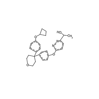 CC(O)c1ccc(Oc2ccc(C3(c4ccc(OC5CCC5)cc4)CCOCC3)cc2)nn1